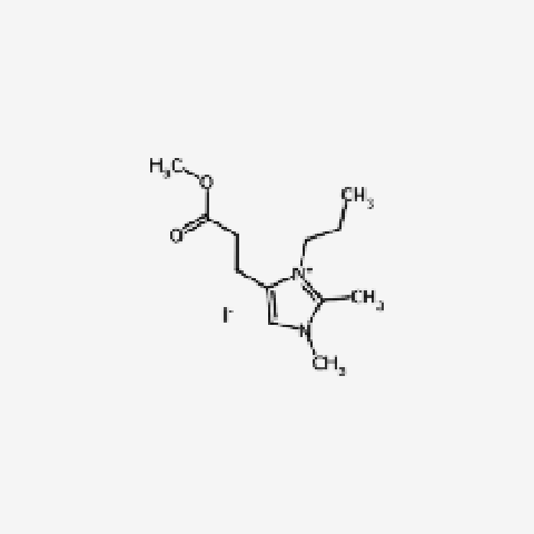 CCC[n+]1c(CCC(=O)OC)cn(C)c1C.[I-]